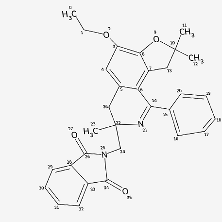 CCOc1cc2c(c3c1OC(C)(C)C3)C(c1ccccc1)=NC(C)(CN1C(=O)c3ccccc3C1=O)C2